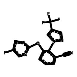 N#Cc1cccc(Oc2ncc(F)cn2)c1-n1cc(C(F)(F)F)cn1